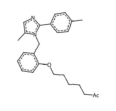 CC(=O)CCCCCOc1ccccc1Cn1c(C)cnc1-c1ccc(C)cc1